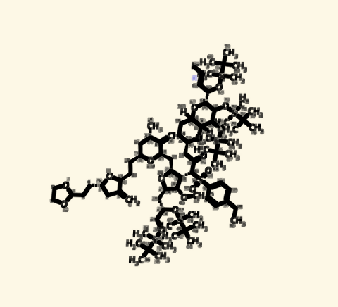 C=C1C[C@H](CCC2OCCO2)O[C@H]1CC[C@H]1C[C@H](C)C(=C)[C@@H](C[C@@H]2O[C@H](C[C@@H](CO[Si](C)(C)C(C)(C)C)O[Si](C)(C)C(C)(C)C)[C@H](OC)[C@H]2C(C(=O)C[C@H]2CC[C@@H]3O[C@H](C(/C=C/I)O[Si](C)(C)C(C)(C)C)C(O[Si](C)(C)C(C)(C)C)C(O[Si](C)(C)C(C)(C)C)[C@@H]3O2)S(=O)(=O)c2ccc(CC)cc2)O1